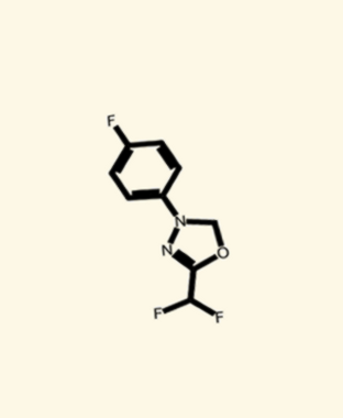 Fc1ccc(N2COC(C(F)F)=N2)cc1